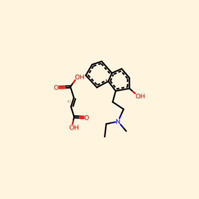 CCN(C)CCc1c(O)ccc2ccccc12.O=C(O)/C=C/C(=O)O